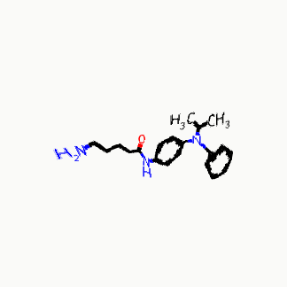 CC(C)N(c1ccccc1)c1ccc(NC(=O)CCCCN)cc1